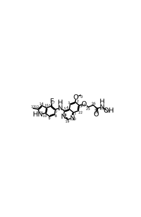 COc1cc2c(Nc3ccc4[nH]c(C)cc4c3F)ncnc2cc1OCCC(=O)NO